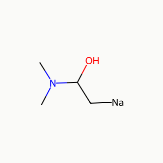 CN(C)C(O)[CH2][Na]